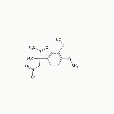 COc1ccc(C(C)(C[N+](=O)[O-])C(C)=O)cc1OC